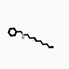 C=CCCC/C=C/CCNCc1ccccc1